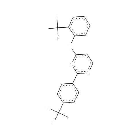 FC(F)(F)c1ccc(-c2nccc(Oc3ccccc3C(F)(F)F)n2)cc1